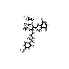 NC(=O)C[C@@H]1C[C@@H]([C@@H]2COc3c(F)ccc(F)c3C2)[C@@H](CCCS(=O)(=O)c2ccc(C(F)(F)F)cc2)NS1(=O)=O